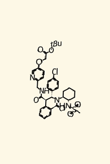 CC(C)(C)OC(=O)COc1ccc(CNC(=O)[C@@H]2c3ccccc3C(=O)N([C@H]3CCCC[C@@H]3NS(C)(=O)=O)[C@H]2c2ccc(Cl)cc2)nc1